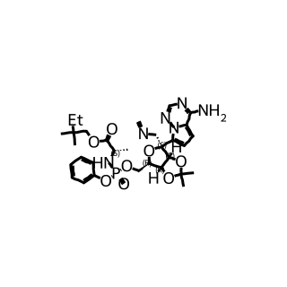 C=NC[C@@]1(c2ccc3c(N)ncnn23)O[C@H](COP(=O)(N[C@@H](C)C(=O)OCC(C)(C)CC)Oc2ccccc2)[C@H]2OC(C)(C)O[C@H]21